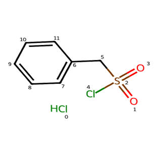 Cl.O=S(=O)(Cl)Cc1ccccc1